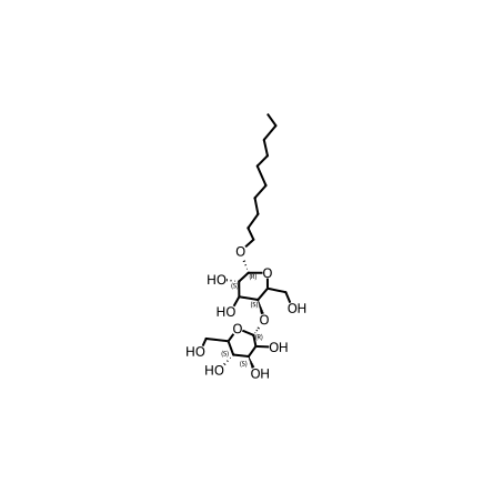 CCCCCCCCCCO[C@@H]1OC(CO)[C@@H](O[C@H]2OC(CO)[C@@H](O)[C@H](O)C2O)C(O)[C@@H]1O